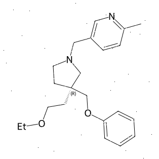 CCOCC[C@]1(COc2ccccc2)CCN(Cc2ccc(C)nc2)C1